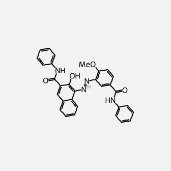 COc1ccc(C(=O)Nc2ccccc2)cc1/N=N/c1c(O)c(C(=O)Nc2ccccc2)cc2ccccc12